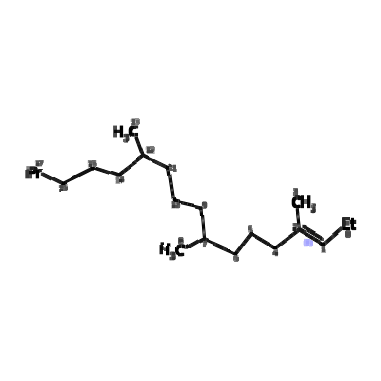 [CH2]C/C=C(\C)CCCC(C)CCCC(C)CCCC(C)C